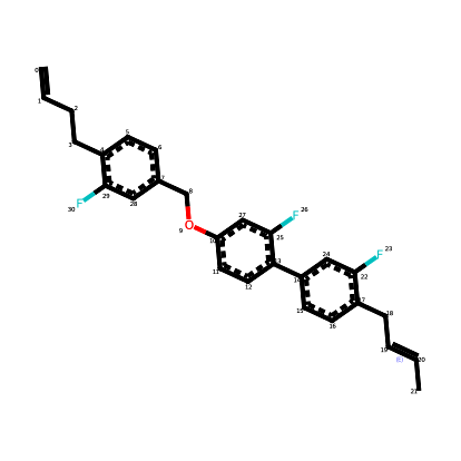 C=CCCc1ccc(COc2ccc(-c3ccc(C/C=C/C)c(F)c3)c(F)c2)cc1F